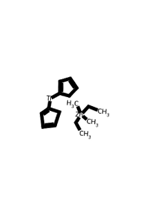 C1=CC[C]([Ti][C]2=CC=CC2)=C1.C[CH2][Zn]([CH3])([CH3])[CH2]C